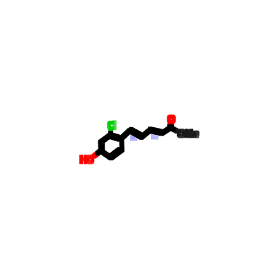 COC(=O)/C=C/C=C/c1ccc(O)cc1Cl